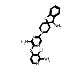 Nc1nc(N2CCC3(CC2)Oc2ccccc2[C@H]3N)cnc1Sc1ccnc(N)c1Cl